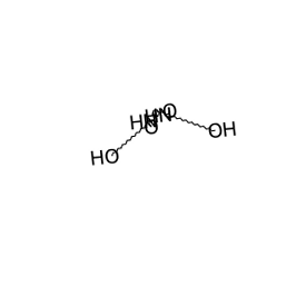 O=C(CCCCCCCCCCCCCCCO)NCc1cccc(CNC(=O)CCCCCCCCCCCCCCCO)c1